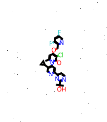 Cc1cc(OCc2ncc(F)cc2F)c(Cl)c(=O)n1-c1cc(-c2ccnc(C(C)(C)O)n2)ncc1C1CC1